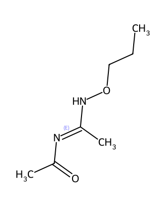 CCCON/C(C)=N/C(C)=O